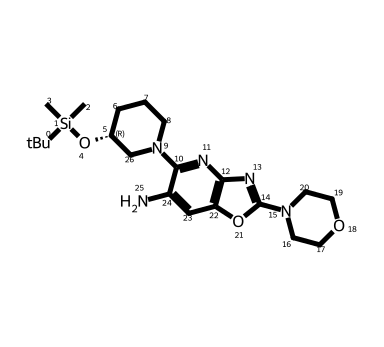 CC(C)(C)[Si](C)(C)O[C@@H]1CCCN(c2nc3nc(N4CCOCC4)oc3cc2N)C1